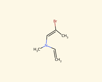 C=CN(C)/C=C(\C)Br